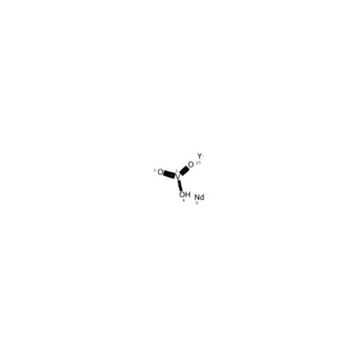 [Nd].[O]=[V](=[O])[OH].[Y]